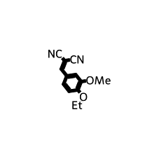 CCOc1ccc(C=C(C#N)C#N)cc1OC